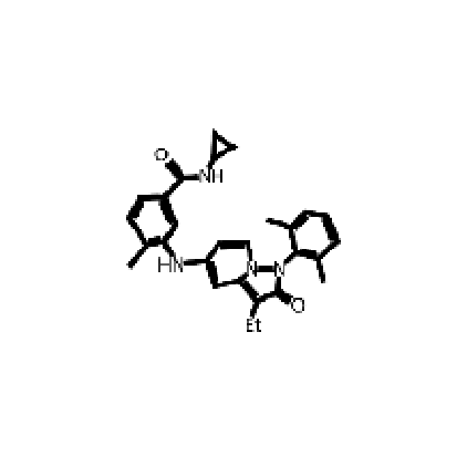 CCc1c(=O)n(-c2c(C)cccc2C)n2ccc(Nc3cc(C(=O)NC4CC4)ccc3C)cc12